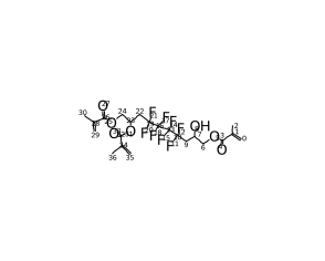 C=C(C)C(=O)OCC(O)CC(F)(F)C(F)(F)C(F)(F)C(F)(F)CC(COC(=O)C(=C)C)OC(=O)C(=C)C